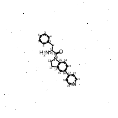 N[C@@H](Cc1ccccc1)C(=O)N1CCc2cc(-c3ccncc3)ccc21